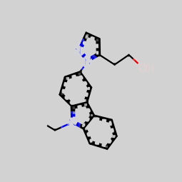 CCn1c2ccccc2c2cc(-n3nccc3CCO)ccc21